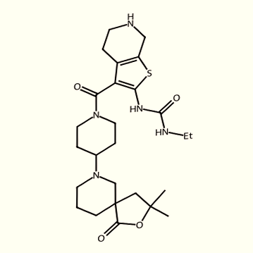 CCNC(=O)Nc1sc2c(c1C(=O)N1CCC(N3CCCC4(C3)CC(C)(C)OC4=O)CC1)CCNC2